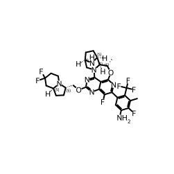 Cc1c(F)c(N)cc(-c2nc3c4c(nc(OC[C@@H]5CC[C@H]6CC(F)(F)CCN56)nc4c2F)N2C[C@H]4CC[C@H](N4)[C@H]2[C@H](C)O3)c1C(F)(F)F